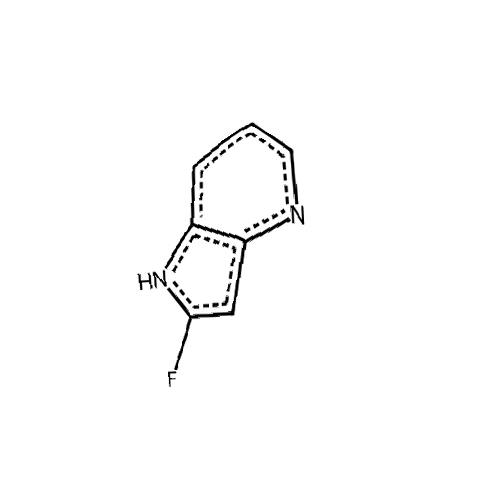 Fc1cc2ncccc2[nH]1